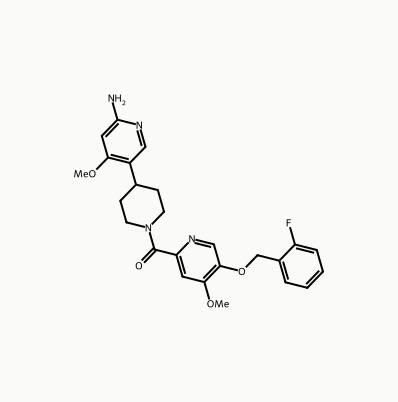 COc1cc(C(=O)N2CCC(c3cnc(N)cc3OC)CC2)ncc1OCc1ccccc1F